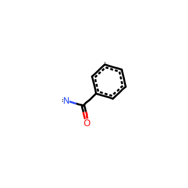 [N]C(=O)c1c[c]ccc1